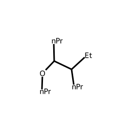 CCCOC(CCC)C(CC)CCC